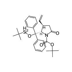 C=C[C@H]1CC(=O)N(C(=O)OC(C)(C)C)[C@@H]1C(O[SiH2]C(C)(C)C)(c1ccccc1)c1ccccc1